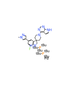 CC(C)(C)P(C(C)(C)C)C(C)(C)C.CC(C)(C)P(C(C)(C)C)C(C)(C)C.Cn1cc(-c2cc(F)cc(C3(CN)CCN(c4ncnc5[nH]ccc45)CC3)c2)cn1.[Pd]